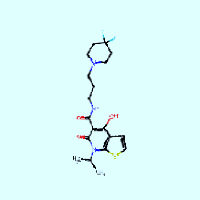 CC(C)n1c(=O)c(C(=O)NCCCN2CCC(F)(F)CC2)c(O)c2ccsc21